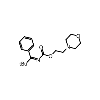 CC(C)(C)/C(=N/C(=O)OCCN1CCOCC1)c1ccccc1